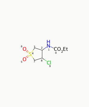 CCOC(=O)NC1CS(=O)(=O)CC1Cl